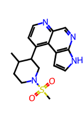 CC1CCN(S(C)(=O)=O)CC1c1ccnc2cnc3[nH]ccc3c12